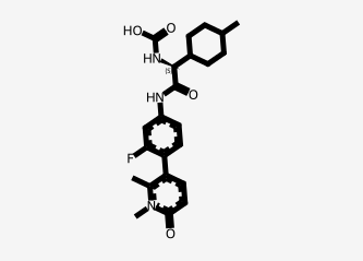 Cc1c(-c2ccc(NC(=O)[C@@H](NC(=O)O)C3CCC(C)CC3)cc2F)ccc(=O)n1C